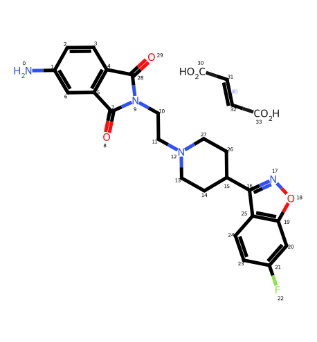 Nc1ccc2c(c1)C(=O)N(CCN1CCC(c3noc4cc(F)ccc34)CC1)C2=O.O=C(O)/C=C/C(=O)O